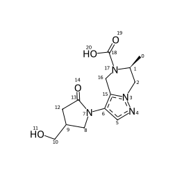 C[C@H]1Cn2ncc(N3CC(CO)CC3=O)c2CN1C(=O)O